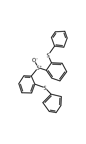 [O-][S+](c1ccccc1Sc1ccccc1)c1ccccc1Sc1ccccc1